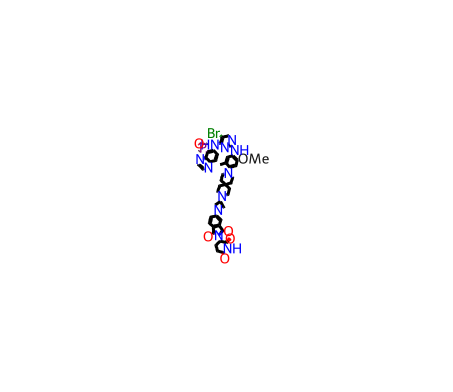 COc1cc(N2CCC3(CC2)CCN(C2CN(c4ccc5c(c4)C(=O)N(C4CCC(=O)NC4=O)C5=O)C2)CC3)c(C)cc1Nc1ncc(Br)c(Nc2ccc3nccnc3c2P(C)(C)=O)n1